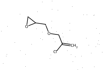 C=C(Cl)COCC1CO1